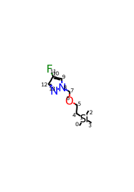 C[Si](C)(C)CCOCn1cc(F)cn1